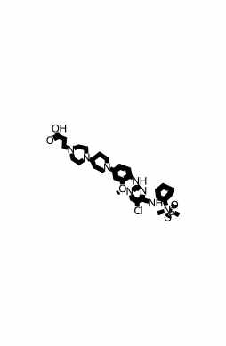 COc1cc(N2CCC(N3CCN(CCC(=O)O)CC3)CC2)ccc1Nc1ncc(Cl)c(Nc2ccccc2N(C)S(C)(=O)=O)n1